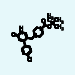 CC(C)(C)OC(=O)N1CCN(Cc2c[nH]c(=O)cc2-c2ccc(Cl)cc2)CC1